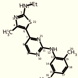 CCNc1nc(C)c(-c2ccnc(Nc3cc(OC)ccc3C)n2)s1